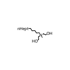 CCCCCCCCCCCC[N+](C)(CCO)CCO